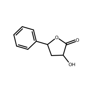 O=C1OC(c2ccccc2)CC1O